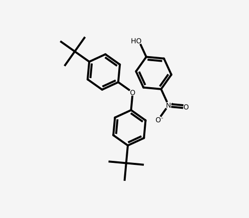 CC(C)(C)c1ccc(Oc2ccc(C(C)(C)C)cc2)cc1.O=[N+]([O-])c1ccc(O)cc1